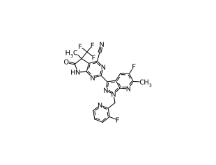 Cc1nc2c(cc1F)c(-c1nc(C#N)c3c(n1)NC(=O)C3(C)C(F)(F)F)nn2Cc1ncccc1F